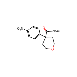 CNC(=O)C1(c2ccc([N+](=O)[O-])cc2)CCOCC1